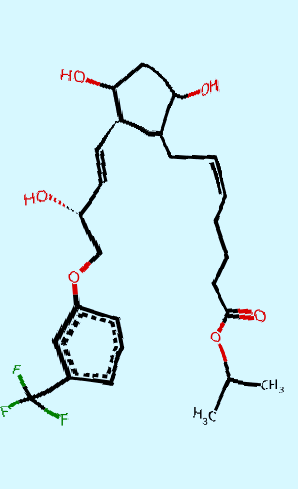 CC(C)OC(=O)CCC/C=C\CC1C(O)CC(O)[C@@H]1/C=C/[C@@H](O)COc1cccc(C(F)(F)F)c1